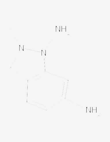 CN1Cc2ccc(N)cc2N1N